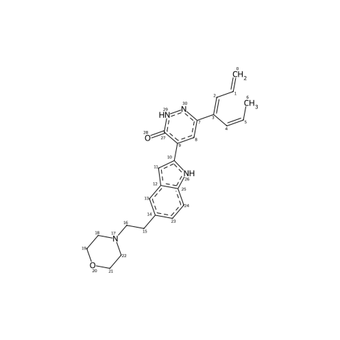 C=C/C=C(\C=C/C)c1cc(-c2cc3cc(CCN4CCOCC4)ccc3[nH]2)c(=O)[nH]n1